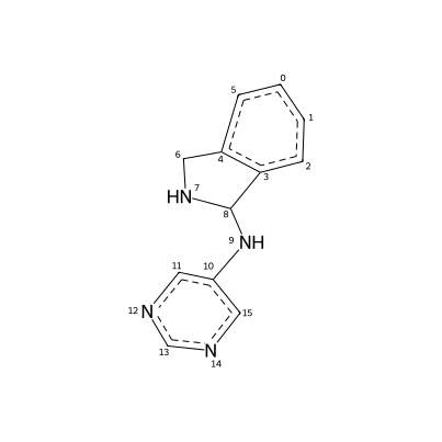 c1ccc2c(c1)CNC2Nc1cncnc1